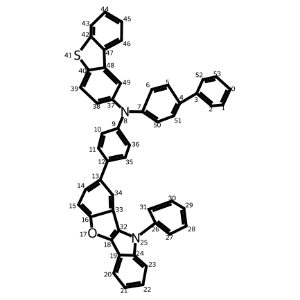 c1ccc(-c2ccc(N(c3ccc(-c4ccc5oc6c7ccccc7n(-c7ccccc7)c6c5c4)cc3)c3ccc4sc5ccccc5c4c3)cc2)cc1